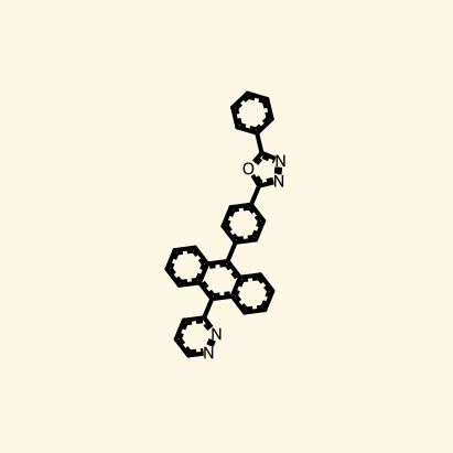 c1ccc(-c2nnc(-c3ccc(-c4c5ccccc5c(-c5cccnn5)c5ccccc45)cc3)o2)cc1